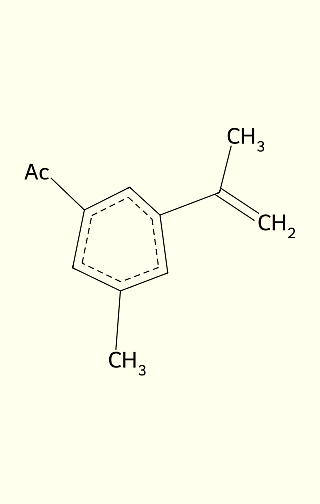 C=C(C)c1cc(C)cc(C(C)=O)c1